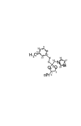 CCCC1COC(CCc2cccc(C)c2)(Cn2ccnc2)O1